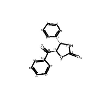 O=C1N[C@@H](c2ccccc2)[C@H](C(=O)c2ccccc2)O1